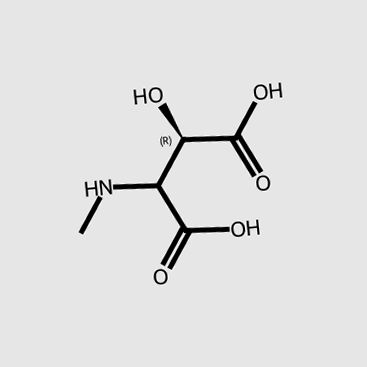 CNC(C(=O)O)[C@@H](O)C(=O)O